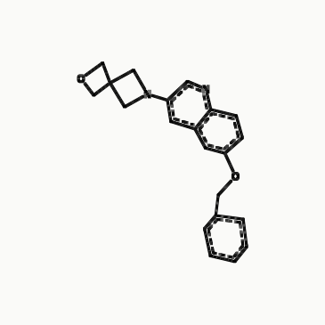 c1ccc(COc2ccc3ncc(N4CC5(COC5)C4)cc3c2)cc1